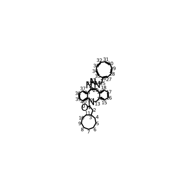 O=C(CC1CCCCCCCC1)N1Cc2ccccc2-c2c(nnn2Cc2ccccccccc2)-c2ccccc21